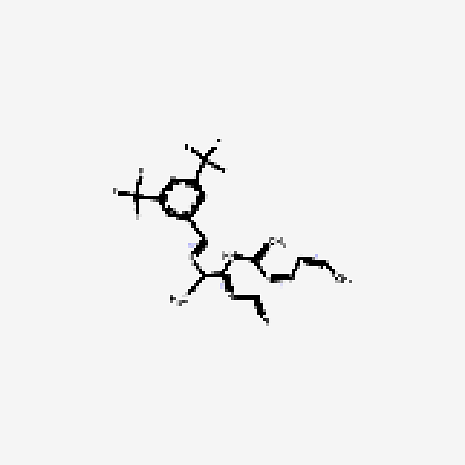 C=C(/N=C\C=C/C)N/C(=N\C=N)C(C)/N=C/c1cc(C(F)(F)F)cc(C(F)(F)F)c1